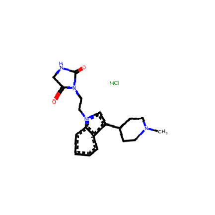 CN1CCC(c2cn(CCN3C(=O)CNC3=O)c3ccccc23)CC1.Cl